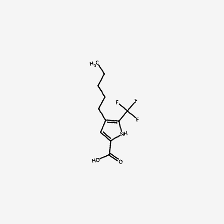 CCCCCc1cc(C(=O)O)[nH]c1C(F)(F)F